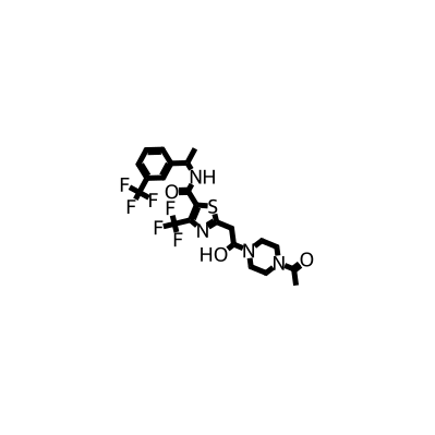 CC(=O)N1CCN(C(O)Cc2nc(C(F)(F)F)c(C(=O)NC(C)c3cccc(C(F)(F)F)c3)s2)CC1